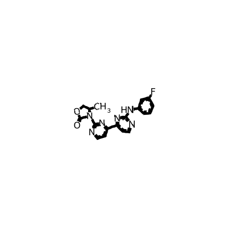 CC1COC(=O)N1c1nccc(-c2ccnc(Nc3cccc(F)c3)n2)n1